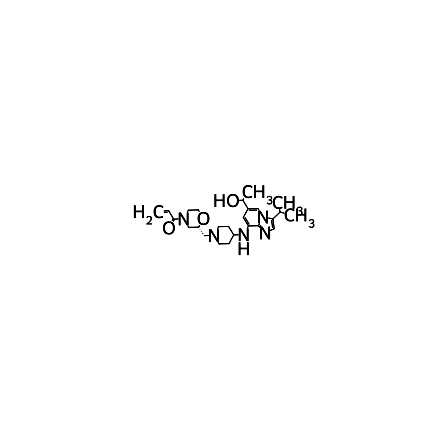 C=CC(=O)N1CCO[C@H](CN2CCC(Nc3cc(C(C)O)cn4c(C(C)C)cnc34)CC2)C1